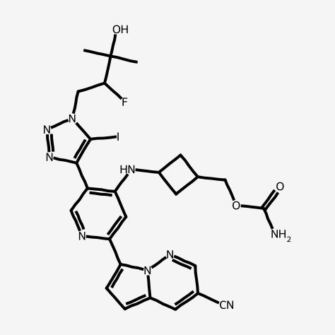 CC(C)(O)C(F)Cn1nnc(-c2cnc(-c3ccc4cc(C#N)cnn34)cc2NC2CC(COC(N)=O)C2)c1I